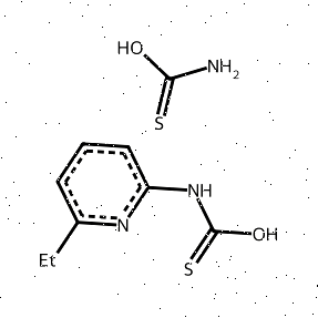 CCc1cccc(NC(O)=S)n1.NC(O)=S